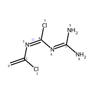 C=C(Cl)/N=C(/Cl)N=C(N)N